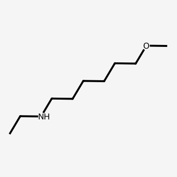 CCNCCCCCCOC